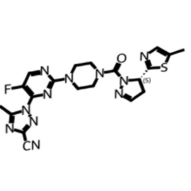 Cc1cnc([C@@H]2CC=NN2C(=O)N2CCN(c3ncc(F)c(-n4nc(C#N)nc4C)n3)CC2)s1